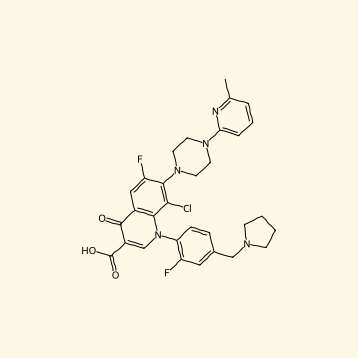 Cc1cccc(N2CCN(c3c(F)cc4c(=O)c(C(=O)O)cn(-c5ccc(CN6CCCC6)cc5F)c4c3Cl)CC2)n1